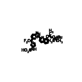 CC(CO[Si](C)(C)C(C)(C)C)Oc1cccc2ccc(-c3nnc4ccc([C@@H](N5CCC(NC(=O)O)C5)C(F)(F)F)cn34)nc12